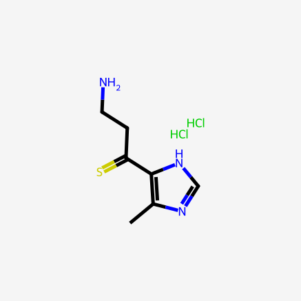 Cc1nc[nH]c1C(=S)CCN.Cl.Cl